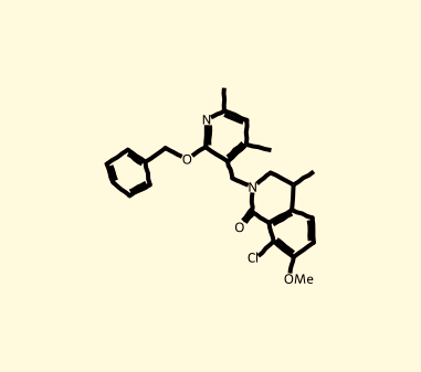 COc1ccc2c(c1Cl)C(=O)N(Cc1c(C)cc(C)nc1OCc1ccccc1)CC2C